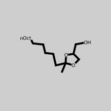 CCCCCCCCCCCCCC1(C)OCC(CO)O1